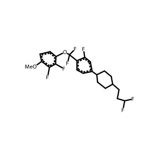 COc1ccc(OC(F)(F)c2ccc(C3CCC(CCC(F)F)CC3)cc2F)c(F)c1F